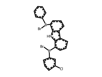 Clc1cccc(B(Br)c2cccc3c2[nH]c2c(B(Br)c4ccccc4)cccc23)c1